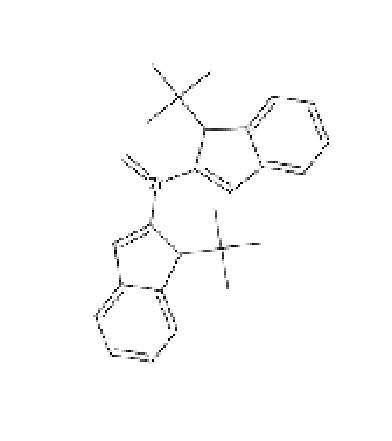 [CH2]=[Zr]([C]1=Cc2ccccc2C1C(C)(C)C)[C]1=Cc2ccccc2C1C(C)(C)C